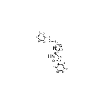 c1ccc(CCCc2noc([C@@H]3C[C@@H](c4ccccc4)CN3)n2)cc1